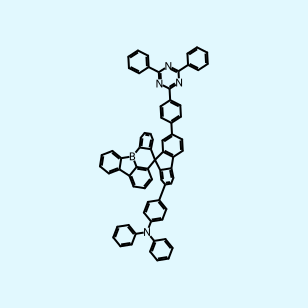 c1ccc(-c2nc(-c3ccccc3)nc(-c3ccc(-c4ccc5c(c4)C4(c6ccccc6B6c7ccccc7-c7cccc4c76)c4cc(-c6ccc(N(c7ccccc7)c7ccccc7)cc6)ccc4-5)cc3)n2)cc1